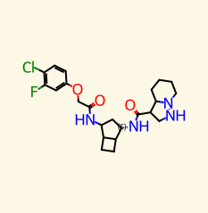 O=C(COc1ccc(Cl)c(F)c1)NC1C[C@H](NC(=O)C2CNN3CCCCC23)C2CCC12